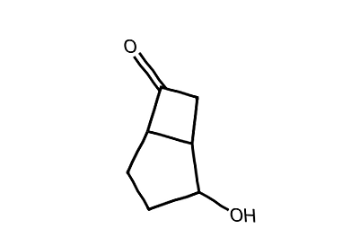 O=C1CC2C(O)CCC12